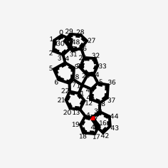 c1ccc(-c2ccc3c(c2)C2(c4cc(-c5ccccc5)ccc4-3)c3cc(-c4ccccc4)ccc3-c3ccc(-c4ccccc4)cc32)cc1